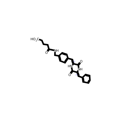 O=C(O)CCCC(=O)NCc1ccc(/C=c2\[nH]c(=O)/c(=C/c3ccccc3)[nH]c2=O)cc1